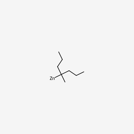 CCC[C](C)([Zn])CCC